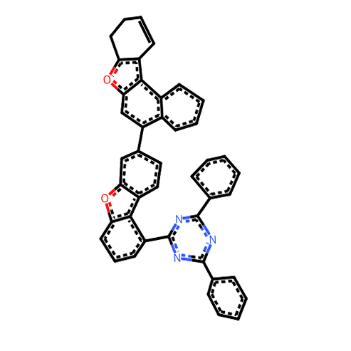 C1=Cc2c(oc3cc(-c4ccc5c(c4)oc4cccc(-c6nc(-c7ccccc7)nc(-c7ccccc7)n6)c45)c4ccccc4c23)CC1